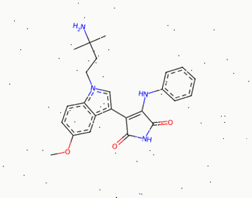 COc1ccc2c(c1)c(C1=C(Nc3ccccc3)C(=O)NC1=O)cn2CCC(C)(C)N